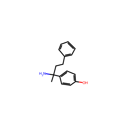 CC(N)(CCc1ccccc1)c1ccc(O)cc1